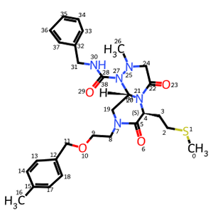 CSCC[C@H]1C(=O)N(CCOCc2ccc(C)cc2)C[C@H]2N1C(=O)CN(C)N2C(=O)NCc1ccccc1